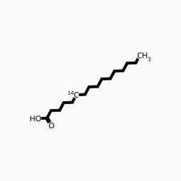 CCCCCCCCCC[14CH2]CCCCC(=O)O